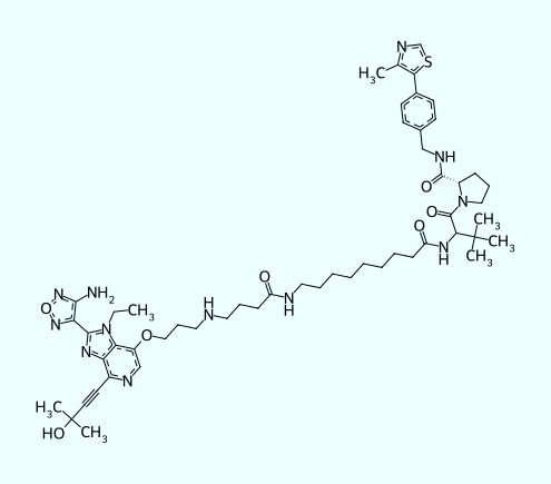 CCn1c(-c2nonc2N)nc2c(C#CC(C)(C)O)ncc(OCCCNCCCC(=O)NCCCCCCCCC(=O)NC(C(=O)N3CCC[C@H]3C(=O)NCc3ccc(-c4scnc4C)cc3)C(C)(C)C)c21